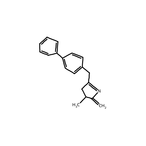 C=C1N=C(Cc2ccc(-c3ccccc3)cc2)CC1C